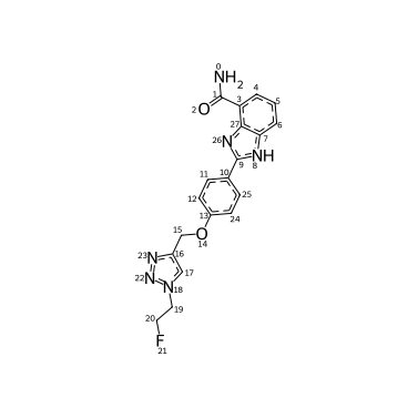 NC(=O)c1cccc2[nH]c(-c3ccc(OCc4cn(CCF)nn4)cc3)nc12